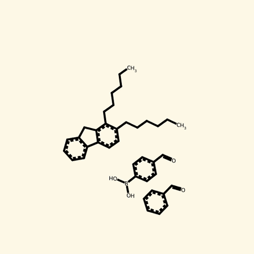 CCCCCCc1ccc2c(c1CCCCCC)Cc1ccccc1-2.O=Cc1ccc(B(O)O)cc1.O=Cc1ccccc1